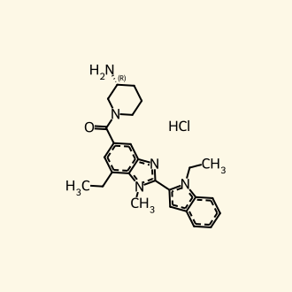 CCc1cc(C(=O)N2CCC[C@@H](N)C2)cc2nc(-c3cc4ccccc4n3CC)n(C)c12.Cl